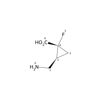 NC[C@@H]1C[C@]1(F)C(=O)O